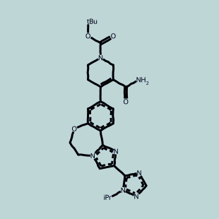 CC(C)n1ncnc1-c1cn2c(n1)-c1ccc(C3=C(C(N)=O)CN(C(=O)OC(C)(C)C)CC3)cc1OCC2